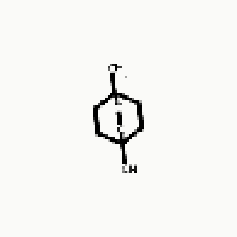 CC12CCC(C#N)(CC1)CC2